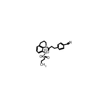 CCCS(=O)(=O)Nc1cccc2c1N(C(=O)CCc1ccc(C#N)cc1)CCC2